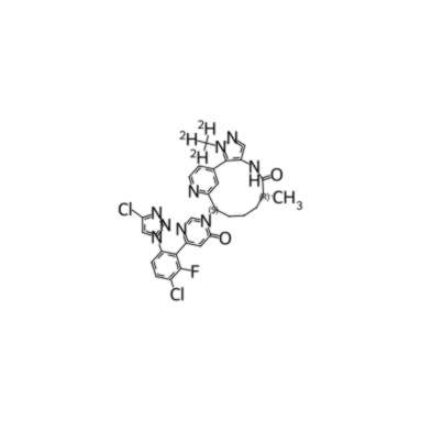 [2H]C([2H])([2H])n1ncc2c1-c1ccnc(c1)[C@@H](n1cnc(-c3c(-n4cc(Cl)nn4)ccc(Cl)c3F)cc1=O)CCC[C@@H](C)C(=O)N2